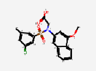 COc1cc(N(CC(=O)O)S(=O)(=O)c2cc(C)cc(Cl)c2)cc2ccccc12